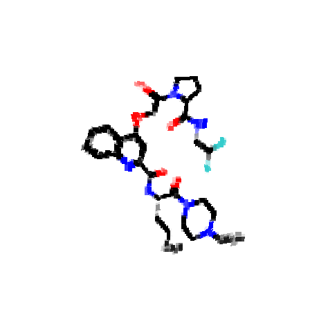 CCOC(=O)N1CCN(C(=O)[C@H](CCC(=O)O)NC(=O)c2cc(OCC(=O)N3CCC[C@H]3C(=O)NCC(F)F)c3ccccc3n2)CC1